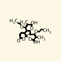 CCCOC(=C(C)C(=O)O)c1cc(C(OCCC)=C(C)C(=O)O)c2ccc(=O)oc2c1